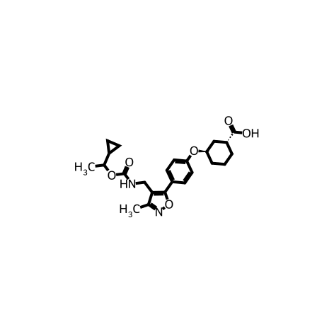 Cc1noc(-c2ccc(O[C@@H]3CCC[C@@H](C(=O)O)C3)cc2)c1CNC(=O)OC(C)C1CC1